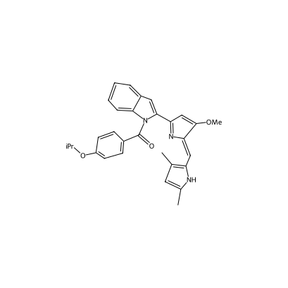 COC1=CC(c2cc3ccccc3n2C(=O)c2ccc(OC(C)C)cc2)=N/C1=C\c1[nH]c(C)cc1C